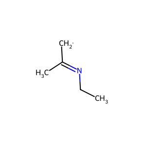 [CH2]C(C)=NCC